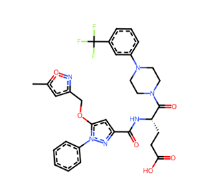 Cc1cc(COc2cc(C(=O)N[C@@H](CCC(=O)O)C(=O)N3CCN(c4cccc(C(F)(F)F)c4)CC3)nn2-c2ccccc2)no1